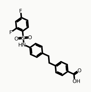 O=C(O)c1ccc(CCc2ccc(NS(=O)(=O)c3ccc(F)cc3F)cc2)cc1